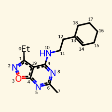 CCc1noc2nc(C)nc(NCCC3=CCCCC3)c12